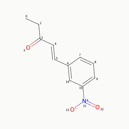 CCC(=O)C=Cc1cccc([N+](=O)[O-])c1